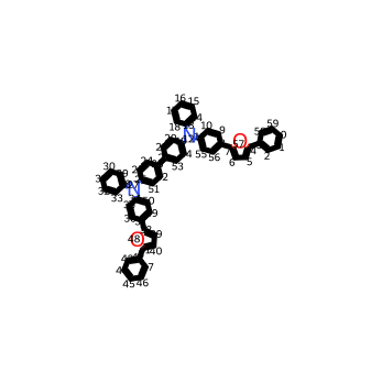 c1ccc(-c2ccc(-c3ccc(N(c4ccccc4)c4ccc(-c5ccc(N(c6ccccc6)c6ccc(-c7ccc(-c8ccccc8)o7)cc6)cc5)cc4)cc3)o2)cc1